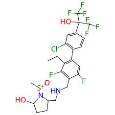 CCc1c(-c2ccc(C(O)(C(F)(F)F)C(F)(F)F)cc2Cl)cc(F)c(CNCC2CCC(O)N2[S+](C)[O-])c1F